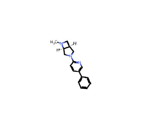 CN1C[C@H]2CN(c3ccc(-c4ccccc4)cn3)C[C@H]21